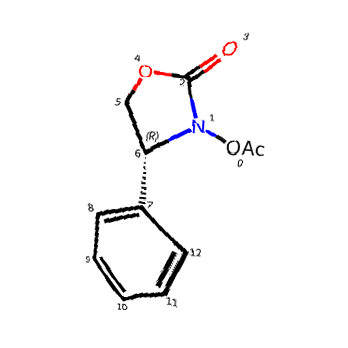 CC(=O)ON1C(=O)OC[C@H]1c1ccccc1